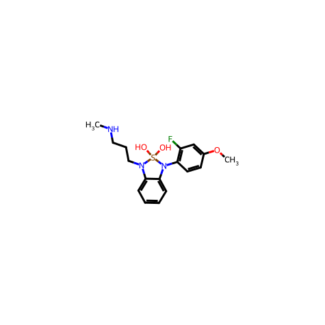 CNCCCN1c2ccccc2N(c2ccc(OC)cc2F)S1(O)O